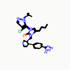 CCCCc1cn(-c2c(Cl)cnn2C(C)C)c(=O)n1Cc1cnccc1-c1ccc(-c2nnn[nH]2)cc1